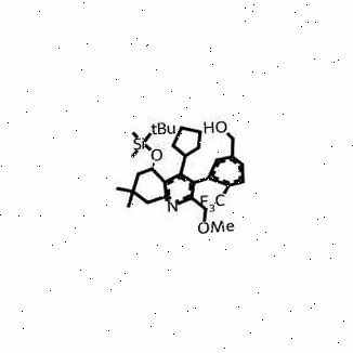 COCc1nc2c(c(C3CCCC3)c1-c1cc(CO)ccc1C(F)(F)F)[C@@H](O[Si](C)(C)C(C)(C)C)CC(C)(C)C2